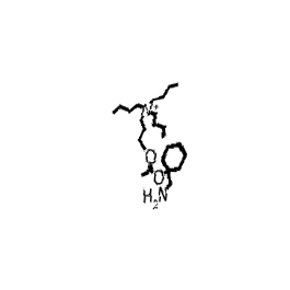 CC(=O)OC1(CN)CCCCC1.CCCC[N+](CCCC)(CCCC)CCCC